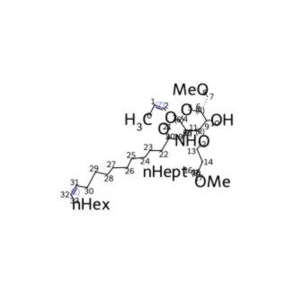 C/C=C\O[C@H]1O[C@H](COC)C(O)[C@H](OCC[C@@H](CCCCCCC)OC)[C@H]1NC(=O)CCCCCCCCC/C=C\CCCCCC